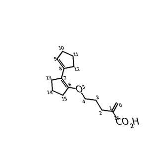 C=C(CCCOC1=C(C2=CCCC2)CCC1)C(=O)O